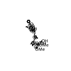 C=CC[C@@H]1O[C@@H]2[C@H]3O[C@@H]4C[C@](CC[C@H]5CC(=C)[C@H](CC[C@H]6C[C@@H](C)C(=C)[C@@H](C[C@@H]7O[C@H](C[C@H](O)CO)[C@H](OC)[C@H]7CC(=O)OC)O6)O5)(O[C@H]3[C@H]1OC(=O)c1ccccc1)O[C@H]24